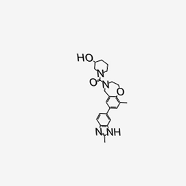 Cc1nc2ccc(-c3cc(C)c4c(c3)CN(C(=O)N3CCCC(O)C3)CCO4)cc2[nH]1